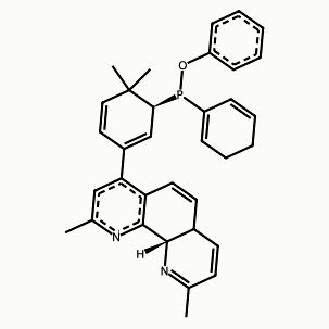 CC1=N[C@@H]2c3nc(C)cc(C4=C[C@H](P(Oc5ccccc5)C5=CCCC=C5)C(C)(C)C=C4)c3C=CC2C=C1